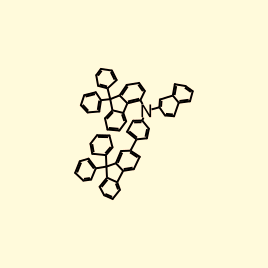 c1ccc(C2(c3ccccc3)c3ccccc3-c3ccc(-c4ccc(N(c5ccc6ccccc6c5)c5cccc6c5-c5ccccc5C6(c5ccccc5)c5ccccc5)cc4)cc32)cc1